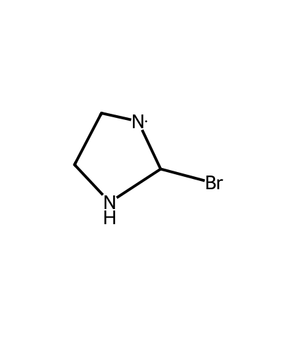 BrC1[N]CCN1